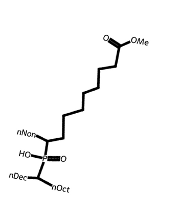 CCCCCCCCCCC(CCCCCCCC)P(=O)(O)C(CCCCCCCCC)CCCCCCCC(=O)OC